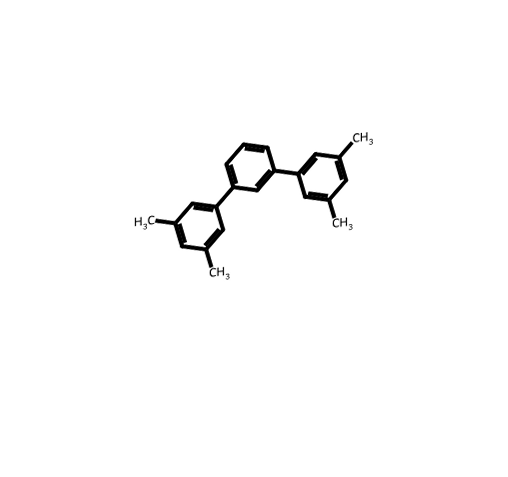 Cc1cc(C)cc(-c2cccc(-c3cc(C)cc(C)c3)c2)c1